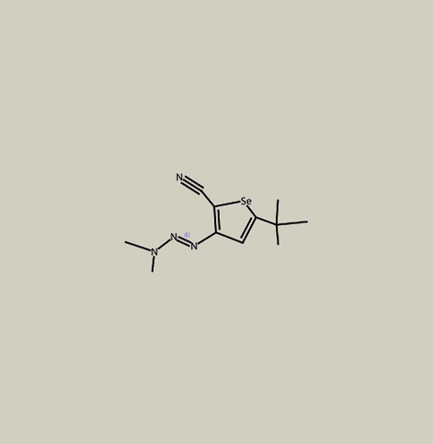 CN(C)/N=N/c1cc(C(C)(C)C)[se]c1C#N